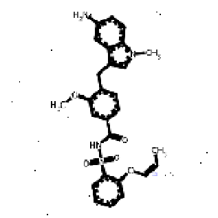 C/C=C\Oc1ccccc1S(=O)(=O)NC(=O)c1ccc(Cc2cn(C)c3ccc(N)cc23)c(OC)c1